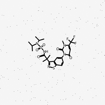 CC(C)N(C(C)C)S(=O)(=O)NC(=O)C(C)(C)c1nsc2ccc(-n3c(=O)cc(C(F)(F)F)n(C)c3=O)cc12